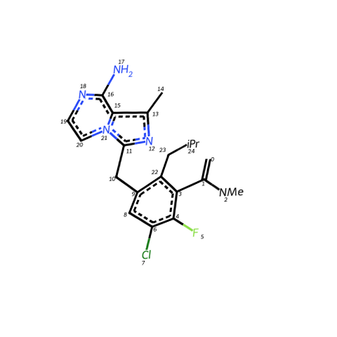 C=C(NC)c1c(F)c(Cl)cc(Cc2nc(C)c3c(N)nccn23)c1CC(C)C